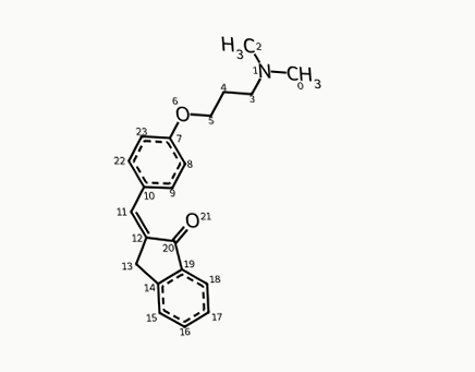 CN(C)CCCOc1ccc(C=C2Cc3ccccc3C2=O)cc1